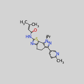 CC(C)=CC(=O)Nc1nc2c(s1)-c1c(c(-c3ccc(C)nc3)nn1C(C)C)CC2